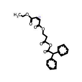 CCOC(=O)/C=C\C(=O)OCCC(=O)OC(=O)C(c1ccccc1)c1ccccc1